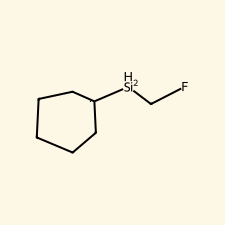 FC[SiH2][C]1CCCCC1